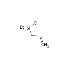 C=CC[SiH](Cl)CC